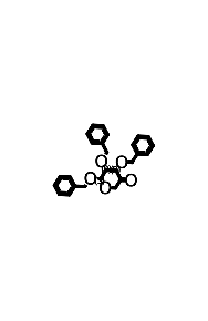 O=C1CO[C@H](OCc2ccccc2)[C@H](OCc2ccccc2)[C@H]1OCc1ccccc1